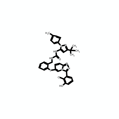 Cc1ccc(-n2nc(C(C)(C)C)cc2NC(=O)NCc2ccccc2Sc2ccc3nnc(-c4cccc(O)c4Cl)n3c2)cc1